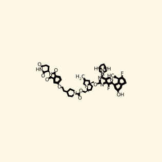 C#Cc1c(F)ccc2cc(O)cc(-c3ncc4c(N5C[C@H]6CC[C@@H](C5)N6)nc(OC[C@@]56CC[C@@H](COC(=O)N7CCC(CCOc8ccc9c(c8)C(=O)N(C8CCC(=O)NC8=O)C9=O)CC7)N5CC(=C)C6)nc4c3F)c12